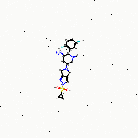 CN1CC(N2Cc3cn(S(=O)(=O)C4CC4)nc3C2)CC(N)[C@H]1c1cc(F)ccc1F